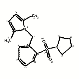 Cc1ccc(C)n1Cc1ccccc1S(=O)(=O)N1CCCC1